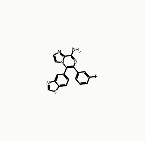 Nc1nc(-c2cccc(F)c2)c(-c2ccc3scnc3c2)n2ccnc12